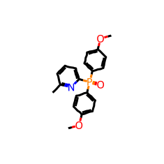 COc1ccc(P(=O)(c2ccc(OC)cc2)c2cccc(C)n2)cc1